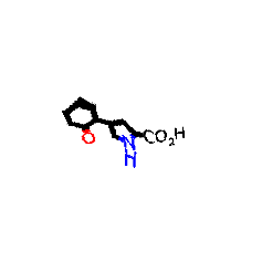 O=C(O)C1CC(C2CCCCC2=O)CN1